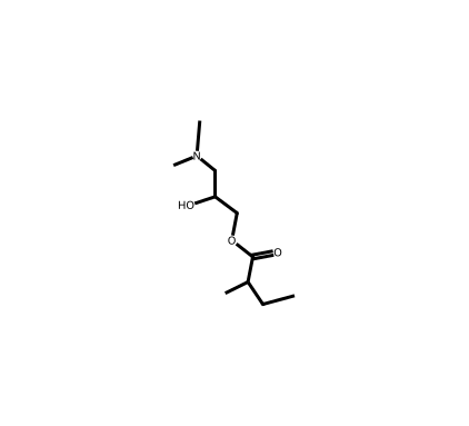 CCC(C)C(=O)OCC(O)CN(C)C